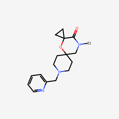 CCN1CC2(CCN(Cc3ccccn3)CC2)OC2(CC2)C1=O